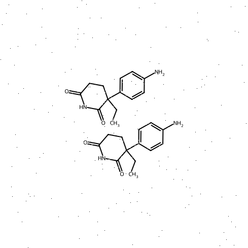 CCC1(c2ccc(N)cc2)CCC(=O)NC1=O.CCC1(c2ccc(N)cc2)CCC(=O)NC1=O